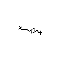 CC(C)(C)CC#CCCN1CCN(CCC(C)(C)C)CC1